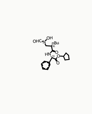 CCCC[C@H](CN(O)C=O)C(=O)N[C@H](C(=O)OC1CCCC1)c1ccccc1